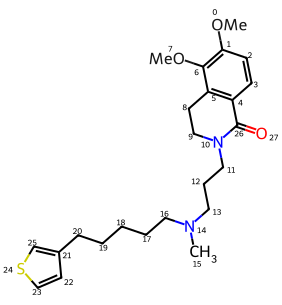 COc1ccc2c(c1OC)CCN(CCCN(C)CCCCCc1ccsc1)C2=O